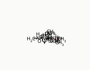 C=CCNC(=O)C(=O)C(CC1CC1)NC(=O)[C@@H]1[C@H]2CCC(C)(C)[C@H]2CN1C(=O)[C@@H](NC(=O)N[C@H](CN(C)S(C)(=O)=O)C(C)(C)C)C(C)(C)C